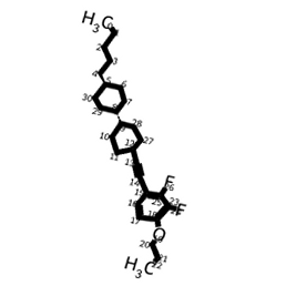 CCCCC[C@H]1CC[C@H](C2CCC(C#Cc3ccc(OCCC)c(F)c3F)CC2)CC1